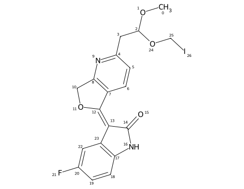 COC(Cc1ccc2c(n1)CO/C2=C1/C(=O)Nc2ccc(F)cc21)OCI